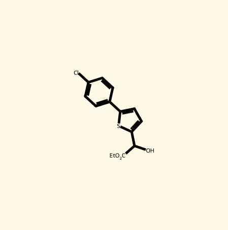 CCOC(=O)C(O)c1ccc(-c2ccc(Cl)cc2)s1